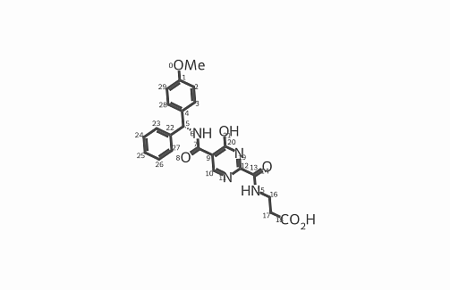 COc1ccc([C@H](NC(=O)c2cnc(C(=O)NCCC(=O)O)nc2O)c2ccccc2)cc1